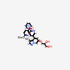 COc1ccc(C(=O)N2C3CC2CN(c2ccc(-c4cc(OC[C@H](O)CO)cn5ncc(C#N)c45)cn2)C3)cn1